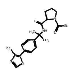 CCC(C)C(=O)N1CCCC1C(=O)NC(C)(C)c1ccc(-c2scnc2C)cc1